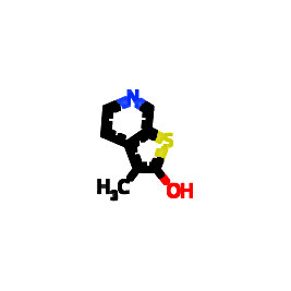 Cc1c(O)sc2cnccc12